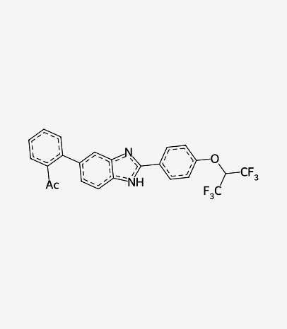 CC(=O)c1ccccc1-c1ccc2[nH]c(-c3ccc(OC(C(F)(F)F)C(F)(F)F)cc3)nc2c1